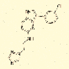 Clc1cccc(-c2cnc3ccc(NCCn4cncn4)nn23)c1